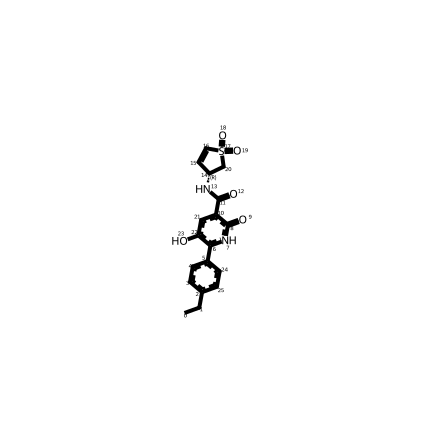 CCc1ccc(-c2[nH]c(=O)c(C(=O)N[C@@H]3C=CS(=O)(=O)C3)cc2O)cc1